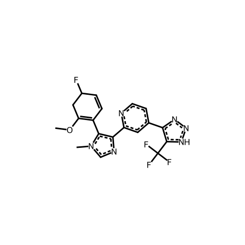 COC1=C(c2c(-c3cc(-c4nn[nH]c4C(F)(F)F)ccn3)ncn2C)C=CC(F)C1